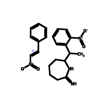 CC(c1ccccc1[N+](=O)[O-])C1CCCCC(=N)N1.O=[N+]([O-])/C=C/c1ccccc1